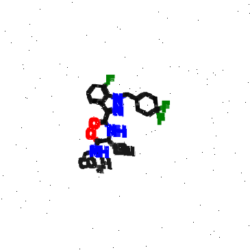 CC(C)(C)C(NC(=O)c1nn(CC2CCC(F)(F)CC2)c2c(F)cccc12)C(=O)NCC(=O)O